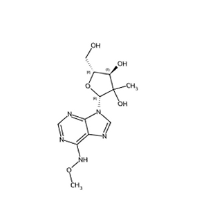 CONc1ncnc2c1ncn2[C@@H]1O[C@H](CO)[C@@H](O)C1(C)O